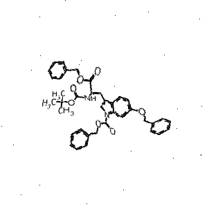 CC(C)(C)OC(=O)NC(=Cc1cn(C(=O)OCc2ccccc2)c2cc(OCc3ccccc3)ccc12)C(=O)OCc1ccccc1